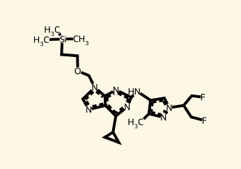 Cc1nn(C(CF)CF)cc1Nc1nc(C2CC2)c2ncn(COCC[Si](C)(C)C)c2n1